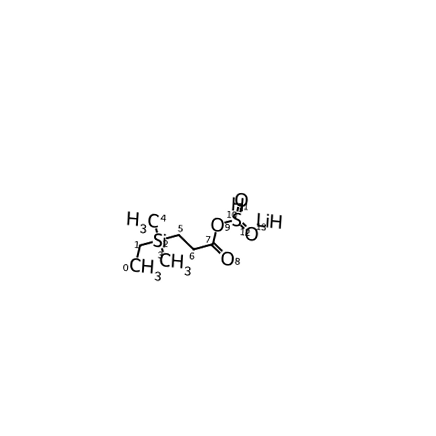 CC[Si](C)(C)CCC(=O)O[SH](=O)=O.[LiH]